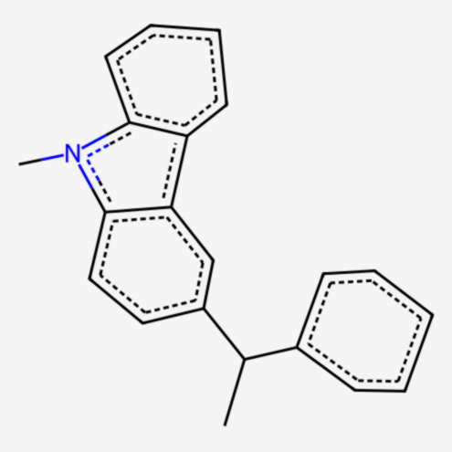 CC(c1ccccc1)c1ccc2c(c1)c1ccccc1n2C